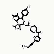 Cc1sc2c(c1C)C(c1ccc(Cl)cc1)=N[C@@H](CC(=O)N1CCN(C(=O)c3ccc(C#CCN)o3)CC1)c1nnc(C)n1-2